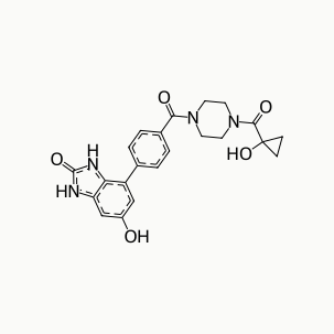 O=C(c1ccc(-c2cc(O)cc3[nH]c(=O)[nH]c23)cc1)N1CCN(C(=O)C2(O)CC2)CC1